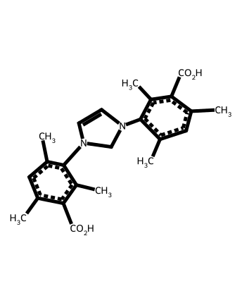 Cc1cc(C)c(N2C=CN(c3c(C)cc(C)c(C(=O)O)c3C)C2)c(C)c1C(=O)O